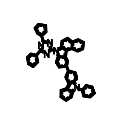 c1ccc(-c2nc(-c3ccccc3)nc(-n3c4ccc(-c5ccc6c(c5)c5ccccc5n6-c5ccccc5)cc4c4c5ccccc5ccc43)n2)cc1